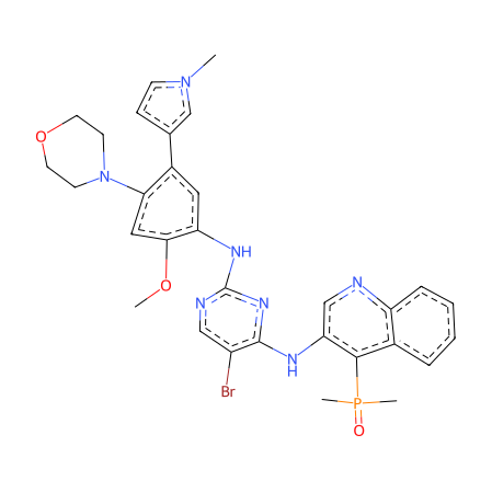 COc1cc(N2CCOCC2)c(-c2ccn(C)c2)cc1Nc1ncc(Br)c(Nc2cnc3ccccc3c2P(C)(C)=O)n1